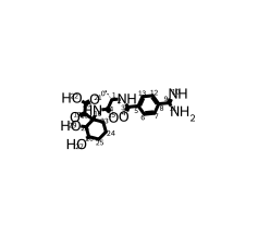 C[C@H](NC(=O)c1ccc(C(=N)N)cc1)C(=O)NC1(C(=O)C(=O)O)CCCC(O)C1O